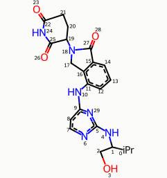 CC(C)C(CO)Nc1nccc(Nc2cccc3c2CN(C2CCC(=O)NC2=O)C3=O)n1